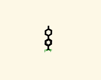 CC1CCC(c2ccc(C(F)F)cc2)CC1